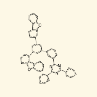 c1ccc(-c2nc(-c3ccccc3)nc(-c3cccc(-c4cc(-c5ccc6c(c5)oc5ccccc56)cc(-c5cccc6oc7ccccc7c56)c4)c3)n2)cc1